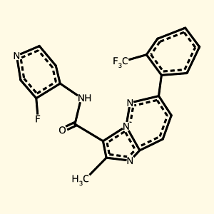 Cc1nc2ccc(-c3ccccc3C(F)(F)F)nn2c1C(=O)Nc1ccncc1F